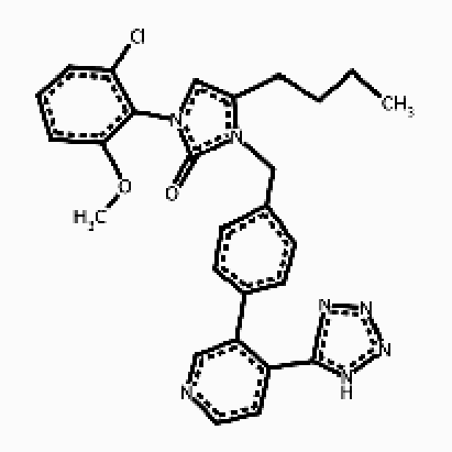 CCCCc1cn(-c2c(Cl)cccc2OC)c(=O)n1Cc1ccc(-c2cnccc2-c2nnn[nH]2)cc1